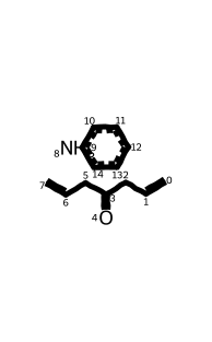 C=CCC(=O)CC=C.N.c1ccccc1